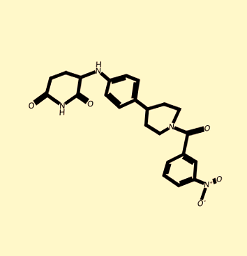 O=C1CCC(Nc2ccc(C3CCN(C(=O)c4cccc([N+](=O)[O-])c4)CC3)cc2)C(=O)N1